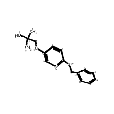 CC(C)(O)COc1ccc(SCc2ccccc2)nc1